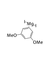 COc1c[c]cc(OC)c1.[I][Mg][I]